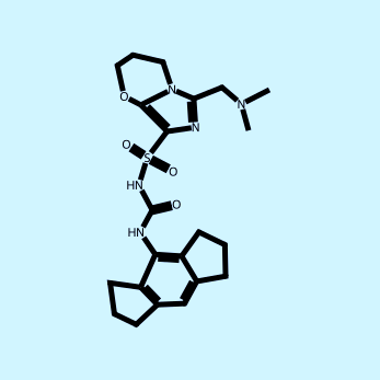 CN(C)Cc1nc(S(=O)(=O)NC(=O)Nc2c3c(cc4c2CCC4)CCC3)c2n1CCCO2